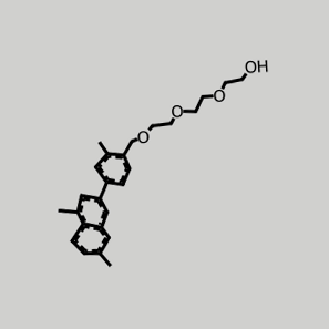 Cc1ccc2c(C)cc(-c3ccc(COCCOCCOCCO)c(C)c3)cc2c1